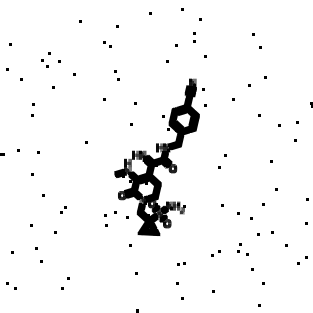 CNC1=C(C(=N)C(=O)NCc2ccc(C#N)cc2)CCN(CC2(S(N)(=O)=O)CC2)C1=O